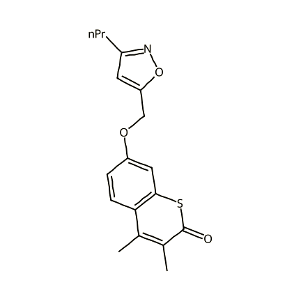 CCCc1cc(COc2ccc3c(C)c(C)c(=O)sc3c2)on1